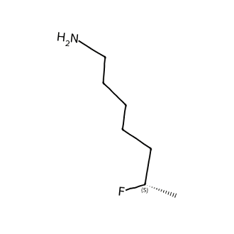 C[C@H](F)CCCCCN